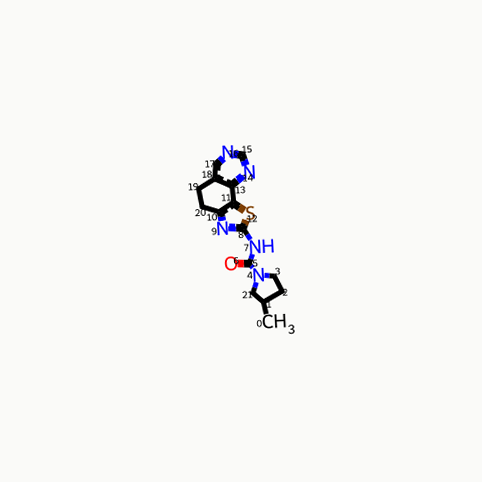 CC1CCN(C(=O)Nc2nc3c(s2)-c2ncncc2CC3)C1